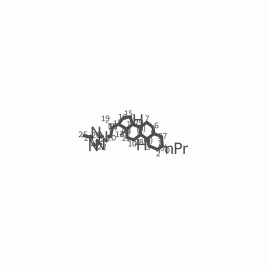 CCC[C@H]1CC[C@H]2C(CC[C@@H]3C2CC[C@@]2(C)C3CCC2[C@@H](C)Cn2nnc(C)n2)C1